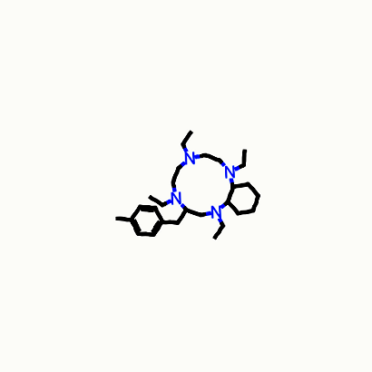 CCN1CCN(CC)C(Cc2ccc(C)cc2)CN(CC)C2CCCCC2N(CC)CC1